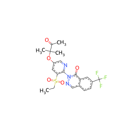 CCS(=O)(=O)c1cc(OC(C)(C)C(C)=O)cnc1-n1ncc2ccc(C(F)(F)F)cc2c1=O